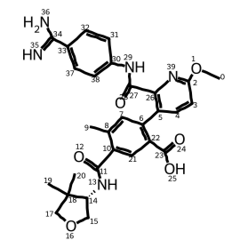 COc1ccc(-c2cc(C)c(C(=O)N[C@@H]3COCC3(C)C)cc2C(=O)O)c(C(=O)Nc2ccc(C(=N)N)cc2)n1